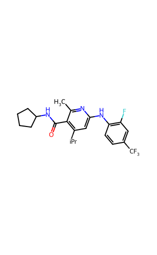 Cc1nc(Nc2ccc(C(F)(F)F)cc2F)cc(C(C)C)c1C(=O)NC1CCCC1